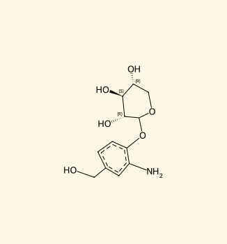 Nc1cc(CO)ccc1OC1OC[C@@H](O)[C@H](O)[C@H]1O